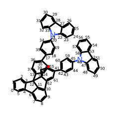 c1ccc2c(c1)-c1cccc3c1C2(c1ccc(-c2ccc(-n4c5ccccc5c5ccccc54)cc2)cc1)c1ccc(-c2ccc(-n4c5ccccc5c5ccccc54)cc2)cc1-3